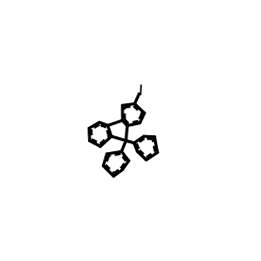 Ic1ccc2c(c1)-c1ccccc1C2(c1ccccc1)c1ccccc1